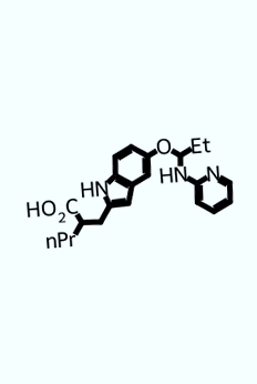 CCCC(Cc1cc2cc(OC(CC)Nc3ccccn3)ccc2[nH]1)C(=O)O